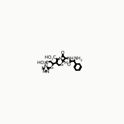 NC(C(=O)NC1C(=O)N2C(C(=O)O)=C(C(CC(=O)O)Sc3nnn[nH]3)CS[C@@H]12)C1=CCC=CC1